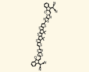 CC1(C)c2c(sc3c2C(C)(C)c2c-3sc3cc(-c4nc5sc(/C=C6\C(=O)c7ccccc7C6=C(C#N)C#N)nc5s4)sc23)-c2sc3cc(-c4nc5sc(/C=C6\C(=O)c7ccccc7C6=C(C#N)C#N)nc5s4)sc3c21